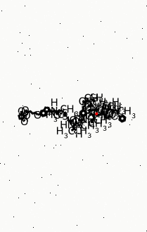 CC[C@H](C)[C@@H](CCC(=O)N1CCC[C@H]1[C@H](OC)[C@@H](C)C(=O)N[C@H](C)[C@@H](O)c1ccccc1)N(C)C(=O)C(NC(=O)[C@H](C(C)C)N(C)C(=O)OCc1ccc(NC(=O)[C@H](C)NC(=O)[C@@H](NC(=O)CCSSC(C)(C)CC(=O)N/N=C2\CCc3cc(OCCCC(=O)ON4C(=O)CCC4=O)ccc32)C(C)C)cc1)C(C)C